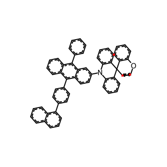 c1ccc(-c2c3ccccc3c(-c3ccc(-c4cccc5ccccc45)cc3)c3ccc(N4c5ccccc5C5(c6ccccc6Oc6ccccc65)c5ccccc54)cc23)cc1